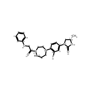 C[C@H]1CN(c2ccc(N3CCNN(C(=O)COc4ccccc4)CC3)c(F)c2)C(=O)O1